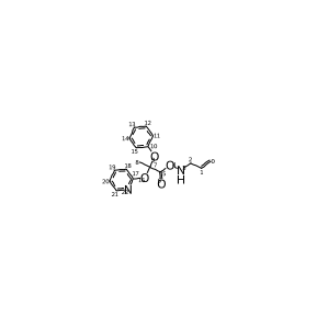 C=CCNOC(=O)C(C)(Oc1ccccc1)Oc1ccccn1